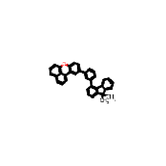 CC1(C)c2ccccc2-c2c(-c3cccc(-c4ccc5c(c4)-c4cccc6cccc(c46)O5)c3)cccc21